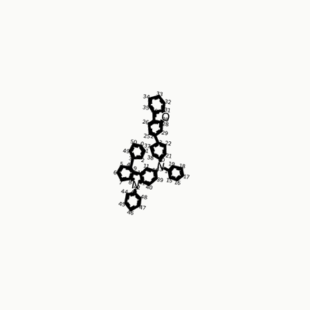 c1ccc(-c2cccc3c2c2cc(N(c4ccccc4)c4ccc(-c5ccc6c(c5)oc5ccccc56)cc4)ccc2n3-c2ccccc2)cc1